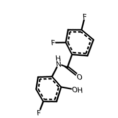 O=C(Nc1ccc(F)cc1O)c1ccc(F)cc1F